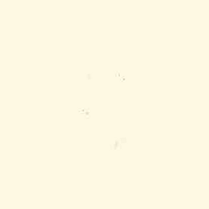 CC(C)C(=O)N(C)S(=O)(=O)N(C)C